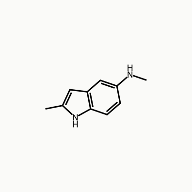 CNc1ccc2[nH]c(C)cc2c1